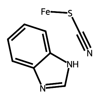 N#C[S][Fe].c1ccc2[nH]cnc2c1